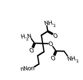 CCCCCCCCCCCCC(CC(N)=O)(OC(=O)CN)C(N)=O